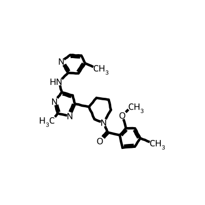 COc1cc(C)ccc1C(=O)N1CCCC(c2cc(Nc3cc(C)ccn3)nc(C)n2)C1